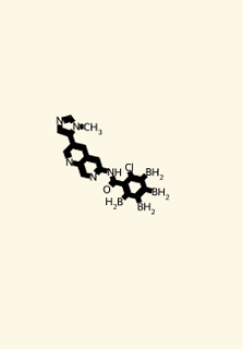 Bc1c(B)c(B)c(C(=O)Nc2cc3cc(-c4cncn4C)cnc3cn2)c(Cl)c1B